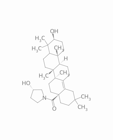 CC1(C)CC[C@]2(C(=O)N3CC[C@H](O)C3)CC[C@]3(C)C(=C2C1)CC[C@@H]1[C@@]2(C)CC[C@H](O)C(C)(C)C2CC[C@]13C